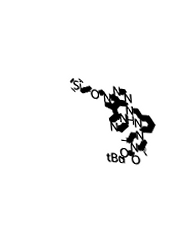 C[C@@H]1CN(c2cccc(CNc3ncnc4c3c(-c3cnccn3)cn4COCC[Si](C)(C)C)n2)C[C@H](C)N1C(=O)OC(C)(C)C